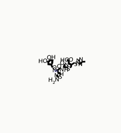 Cc1nnn(SCC2=C(C(=O)O)N3C(=O)C(NC(=O)/C(=N\OCc4ccc(O)c(O)c4)c4csc(N)n4)[C@H]3SC2)n1